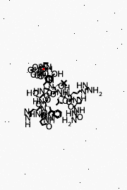 CC(C)C[C@H](NC(=O)[C@@H](COC(C)(C)C)NC(=O)[C@H](Cc1ccc(O)cc1)NC(=O)[C@H](CO)NC(=O)[C@H](Cc1c[nH]c2ccccc12)NC(=O)[C@H](Cc1c[nH]cn1)NC(=O)[C@@H]1CCC(=O)N1)C(=O)N[C@@H](CCCNC(=N)N)C(=O)N1CCC[C@H]1C(=O)NNC(N)=O.O=P(O)(O)C(O)(Cn1ccnc1)P(=O)(O)O